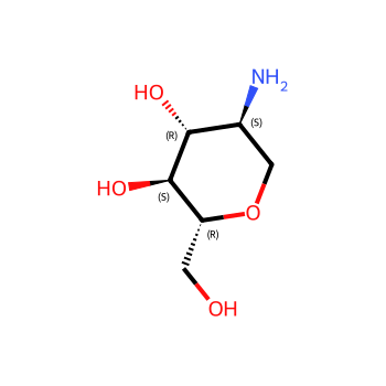 N[C@H]1CO[C@H](CO)[C@@H](O)[C@@H]1O